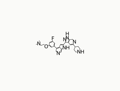 CN(C)CCOc1cc(F)cc(-c2cncc3[nH]c(-c4n[nH]c5cnc(C6CCNCC6)cc45)cc23)c1